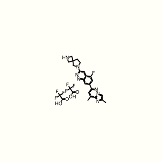 Cc1cn2nc(-c3cc(F)c4cc(N5CCC6(CNC6)C5)nnc4c3)cc(C)c2n1.O=C(O)C(F)(F)F.O=C(O)C(F)(F)F